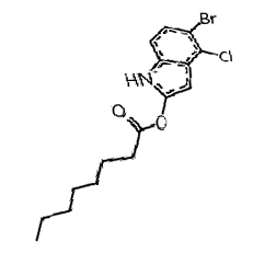 CCCCCCCC(=O)Oc1cc2c(Cl)c(Br)ccc2[nH]1